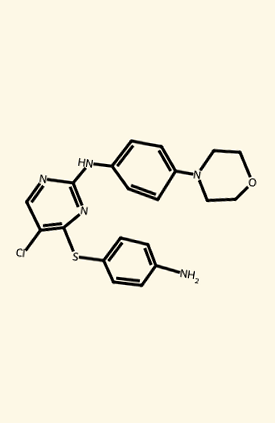 Nc1ccc(Sc2nc(Nc3ccc(N4CCOCC4)cc3)ncc2Cl)cc1